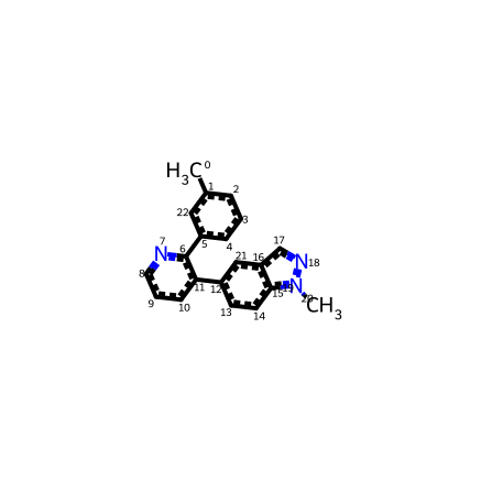 Cc1cccc(-c2ncccc2-c2ccc3c(cnn3C)c2)c1